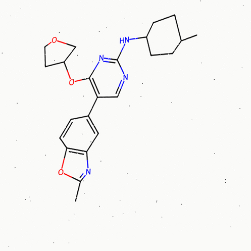 Cc1nc2cc(-c3cnc(NC4CCC(C)CC4)nc3OC3CCOC3)ccc2o1